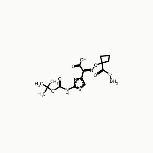 BOC(=O)C1(O/N=C(\C(=O)O)c2csc(NC(=O)OC(C)(C)C)n2)CCC1